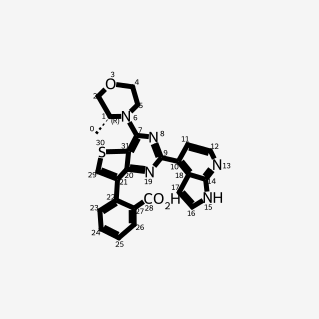 C[C@@H]1COCCN1c1nc(-c2ccnc3[nH]ccc23)nc2c(-c3ccccc3C(=O)O)csc12